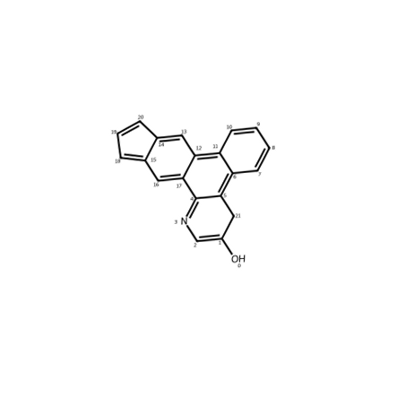 OC1=CN=c2c(c3ccccc3c3cc4c(cc23)=CC=C4)C1